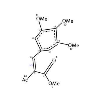 COC(=O)/C(=C\c1cc(OC)c(OC)c(OC)c1)C(C)=O